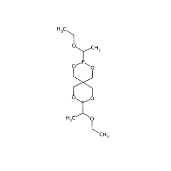 CCOC(C)P1OCC2(CO1)COP(C(C)OCC)OC2